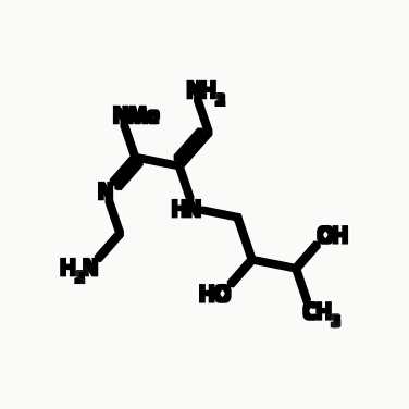 CNC(=N/CN)/C(=C\N)NCC(O)C(C)O